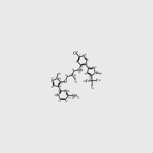 Cn1nc(-c2cnc(Cl)cc2NC[C@@H](F)COc2c(-c3nccc(N)n3)cnn2C)cc1C(F)(F)F